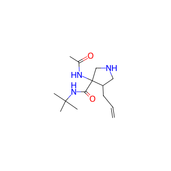 C=CCC1CNCC1(NC(C)=O)C(=O)NC(C)(C)C